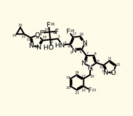 OC(CNc1nc(-c2cc(-c3ccon3)n(Cc3ccccc3F)n2)ncc1F)(c1nnc(C2CC2)o1)C(F)(F)F